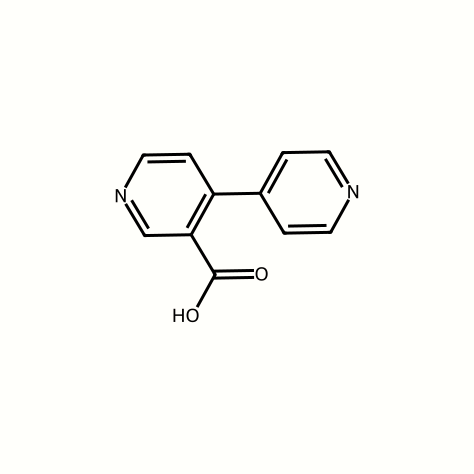 O=C(O)c1cnccc1-c1ccncc1